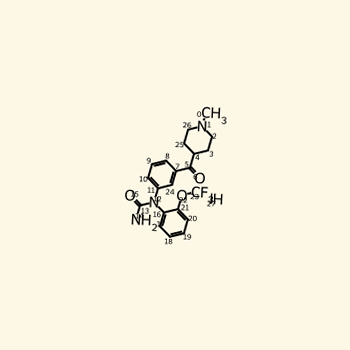 CN1CCC(C(=O)c2cccc(N(C(N)=O)c3ccccc3OC(F)(F)F)c2)CC1.I